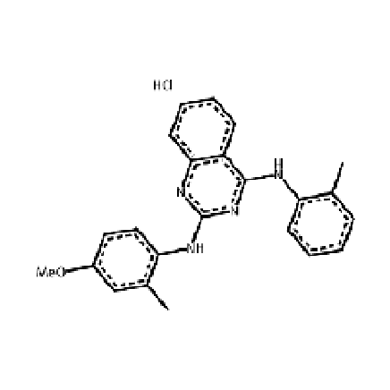 COc1ccc(Nc2nc(Nc3ccccc3C)c3ccccc3n2)c(C)c1.Cl